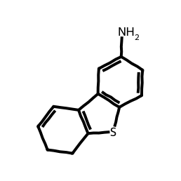 Nc1ccc2sc3c(c2c1)C=CCC3